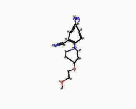 COCCOC1CCN(c2ccc(N)cc2C#N)CC1